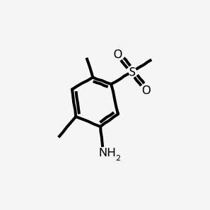 Cc1cc(C)c(S(C)(=O)=O)cc1N